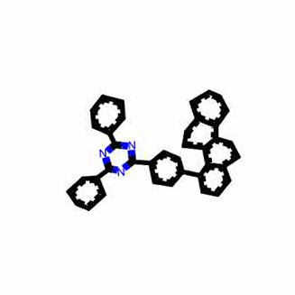 c1ccc(-c2nc(-c3ccccc3)nc(-c3ccc(-c4cccc5ccc6c7ccccc7ccc6c45)cc3)n2)cc1